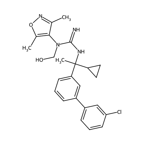 Cc1noc(C)c1N(CO)C(=N)NC(C)(c1cccc(-c2cccc(Cl)c2)c1)C1CC1